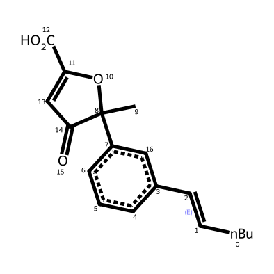 CCCC/C=C/c1cccc(C2(C)OC(C(=O)O)=CC2=O)c1